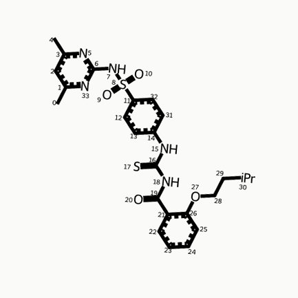 Cc1cc(C)nc(NS(=O)(=O)c2ccc(NC(=S)NC(=O)c3ccccc3OCCC(C)C)cc2)n1